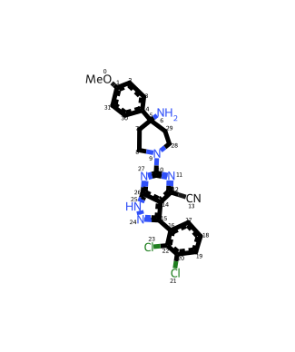 COc1ccc(C2(N)CCN(c3nc(C#N)c4c(-c5cccc(Cl)c5Cl)n[nH]c4n3)CC2)cc1